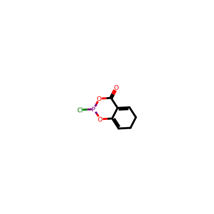 O=C1OP(Cl)OC2=CCCC=C12